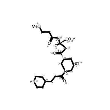 COCCC(=O)N[C@@](C)(NC(=O)[C@@H]1CCCN(C(=O)CCC2CCNCC2)C1)C(=O)O.Cl